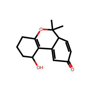 CC1(C)OC2=C(C3=CC(=O)C=CC31)C(O)CCC2